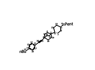 CCCCC[C@H]1CC[C@H](C23CCC(C#Cc4ccc(CCCC)cc4)(CC2)CC3)CC1